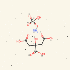 N.O=C(O)CC(O)(CC(=O)O)C(=O)O.[O]=[Mn](=[O])(=[O])[OH]